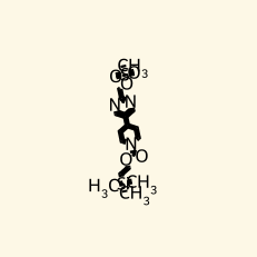 C[Si](C)(C)CCOC(=O)N1CCC(c2cnc(COS(C)(=O)=O)nc2)CC1